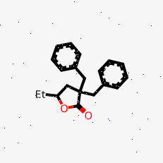 CCC1CC(Cc2ccccc2)(Cc2ccccc2)C(=O)O1